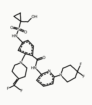 O=C(Nc1cccc(N2CCC(F)(F)CC2)n1)c1ccc(NS(=O)(=O)C2(CO)CC2)cc1N1CCC(=C(F)F)CC1